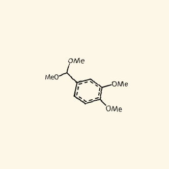 COc1ccc(C(OC)OC)cc1OC